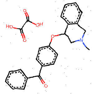 CN1Cc2ccccc2C(Oc2ccc(C(=O)c3ccccc3)cc2)C1.O=C(O)C(=O)O